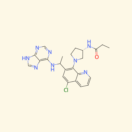 CCC(=O)N[C@H]1CCN(c2c(C(C)Nc3ncnc4[nH]cnc34)cc(Cl)c3cccnc23)C1